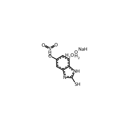 O.O.O=[SH](=O)Oc1ccc2[nH]c(S)nc2c1.[NaH]